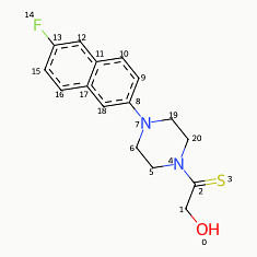 OCC(=S)N1CCN(c2ccc3cc(F)ccc3c2)CC1